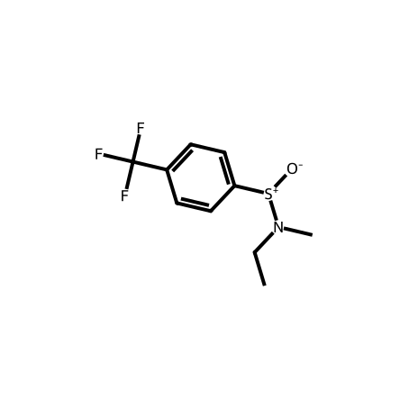 CCN(C)[S+]([O-])c1ccc(C(F)(F)F)cc1